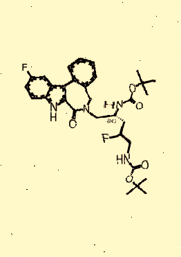 CC(C)(C)OC(=O)NCC(F)C[C@H](CN1Cc2ccccc2-c2c([nH]c3ccc(F)cc23)C1=O)NC(=O)OC(C)(C)C